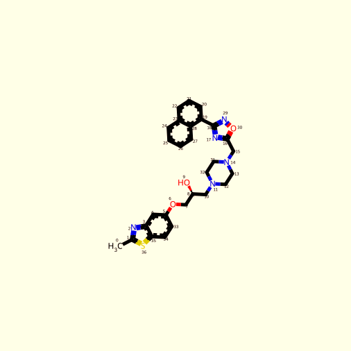 Cc1nc2cc(OC[C@@H](O)CN3CCN(Cc4nc(-c5cccc6ccccc56)no4)CC3)ccc2s1